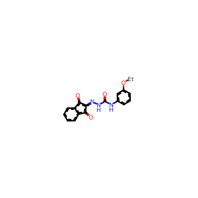 CCOc1cccc(NC(=O)NN=c2c(=O)c3ccccc3c2=O)c1